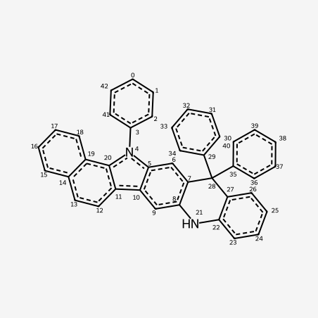 c1ccc(-n2c3cc4c(cc3c3ccc5ccccc5c32)Nc2ccccc2C4(c2ccccc2)c2ccccc2)cc1